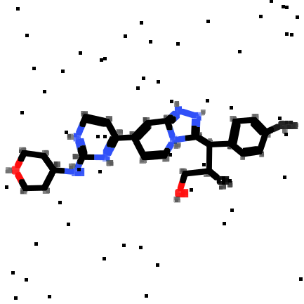 COc1ccc(C(c2nnc3cc(-c4ccnc(NC5CCOCC5)n4)ccn23)C(C)CO)cc1